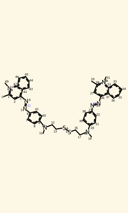 Cc1cc(/N=N/c2ccc(N(C)CCSSCCN(C)c3ccc(/N=N/c4cc(C)[n+](C)c5ccccc45)cc3)cc2)c2ccccc2[n+]1C